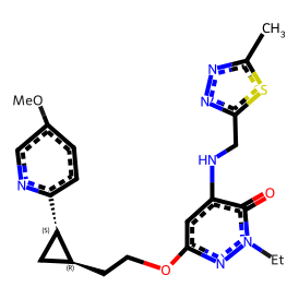 CCn1nc(OCC[C@H]2C[C@@H]2c2ccc(OC)cn2)cc(NCc2nnc(C)s2)c1=O